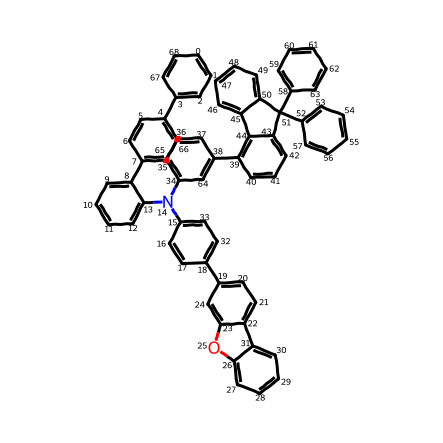 c1ccc(-c2ccc(-c3ccccc3N(c3ccc(-c4ccc5c(c4)oc4ccccc45)cc3)c3cccc(-c4cccc5c4-c4ccccc4C5(c4ccccc4)c4ccccc4)c3)cc2)cc1